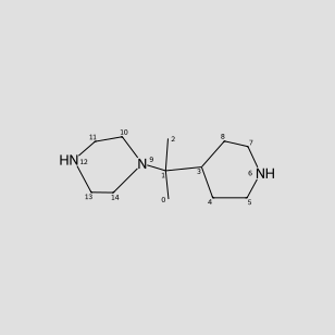 CC(C)(C1CCNCC1)N1CCNCC1